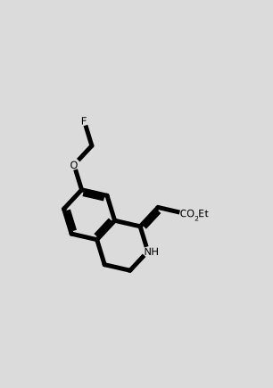 CCOC(=O)C=C1NCCc2ccc(OCF)cc21